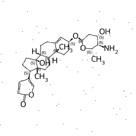 C[C@@H]1O[C@@H](O[C@@H]2C=C3CC[C@@H]4[C@H](CC[C@]5(C)[C@@H](c6ccc(=O)oc6)CC[C@]45O)[C@@]3(C)CC2)C[C@H](O)[C@H]1N